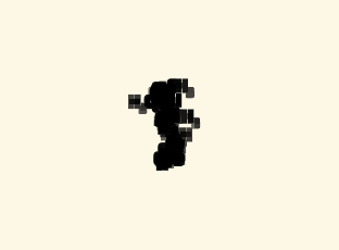 CCc1cccc(CC)c1NC(=O)c1nn(C)c2c1CCc1cnc(NC3CCN(C(=O)c4cnoc4C)CC3)nc1-2